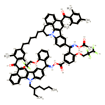 CCCCC(CC)Cn1c2ccc(/C(=N/OC(C)=O)c3ccccc3OCC(F)(F)F)cc2c2cc(C(=O)c3c(C)cc(CCCCCC(CC)Cn4c5ccc(/C(=N/OC(C)=O)c6ccccc6OCC(F)(F)C(F)F)cc5c5cc(C(=O)c6c(C)cc(C)cc6C)c6ccccc6c54)cc3C)c3ccccc3c21